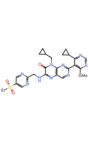 CCS(=O)(=O)c1cnc(CNc2nc3cnc(-c4c(OC)ncnc4C4CC4)nc3n(CC3CC3)c2=O)nc1